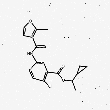 Cc1occc1C(=S)Nc1ccc(Cl)c(C(=O)OC(C)C2CC2)c1